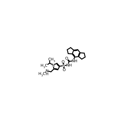 CNCc1cc(S(=O)(=O)NC(=O)Nc2c3c(cc4c2CCC4)CCC3)cn1C(C)C